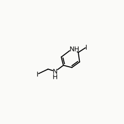 ICNC1=CNC(I)C=C1